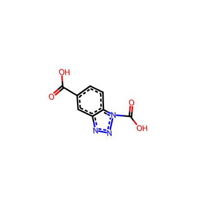 O=C(O)c1ccc2c(c1)nnn2C(=O)O